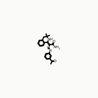 CC(=O)c1cccc(N=NC(C(N)=O)=C2NC(C)(C)Cc3ccccc32)c1